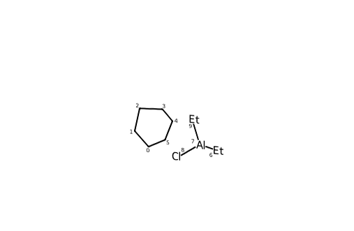 C1CCCCC1.C[CH2][Al]([Cl])[CH2]C